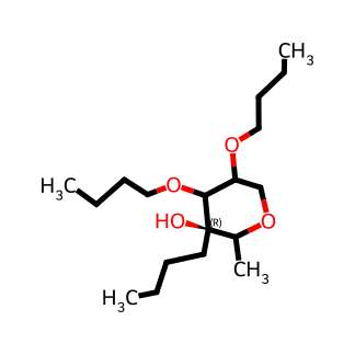 CCCCOC1COC(C)[C@](O)(CCCC)C1OCCCC